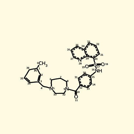 C[C@H]1C=C(CN2CCCN(C(=O)c3ccc(NS(=O)(=O)c4cccc5cccnc45)cc3)CC2)C=CC1